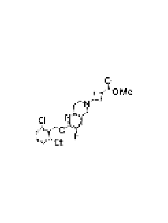 CCc1cccc(Cl)c1COc1nc2c(cc1F)CN(C1CC(C(=O)OC)C1)CC2